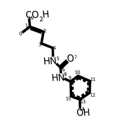 CC(=CCCNC(=O)Nc1cccc(O)c1)C(=O)O